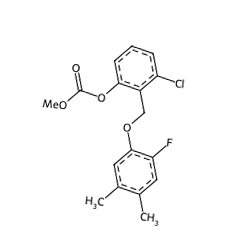 COC(=O)Oc1cccc(Cl)c1COc1cc(C)c(C)cc1F